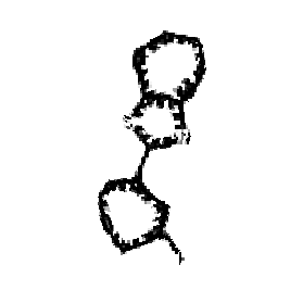 Fc1cccc(-c2nc3ccccc3s2)c1